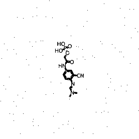 CN(C)C=Nc1ccc(NC(=O)COP(=O)(O)O)cc1C#N